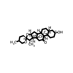 CC1CC[C@@]2(OC1)O[C@H]1C[C@H]3[C@@H]4CC[C@@H]5C[C@@H](O)CC[C@]5(C)[C@H]4C(=O)C[C@]3(C)[C@H]1[C@@H]2C